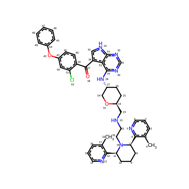 Cc1cccnc1[C@H]1CCC[C@@H](c2ncccc2C)N1CCNC[C@@H]1CC[C@@H](Nc2ncnc3[nH]cc(C(=O)c4ccc(Oc5ccccc5)cc4Cl)c23)CO1